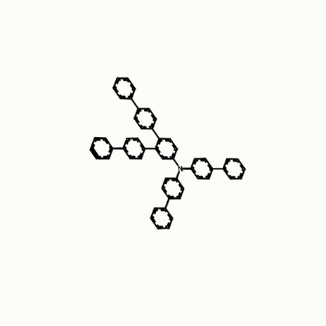 c1ccc(-c2ccc(-c3cc(N(c4ccc(-c5ccccc5)cc4)c4ccc(-c5ccccc5)cc4)ccc3-c3ccc(-c4ccccc4)cc3)cc2)cc#1